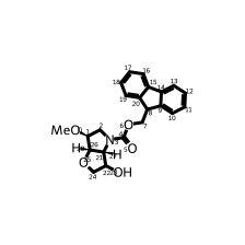 CO[C@H]1CN(C(=O)OCC2c3ccccc3-c3ccccc32)[C@@H]2C(O)CO[C@H]12